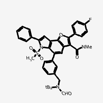 CNC(=O)c1c(-c2ccc(F)cc2)oc2c1cc(-c1cccc(CN(C=O)C(C)(C)C)c1)c1c2cc(-c2ccccc2)n1S(C)(=O)=O